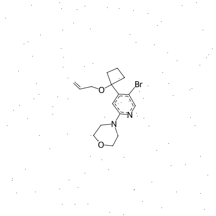 C=CCOC1(c2cc(N3CCOCC3)ncc2Br)CCC1